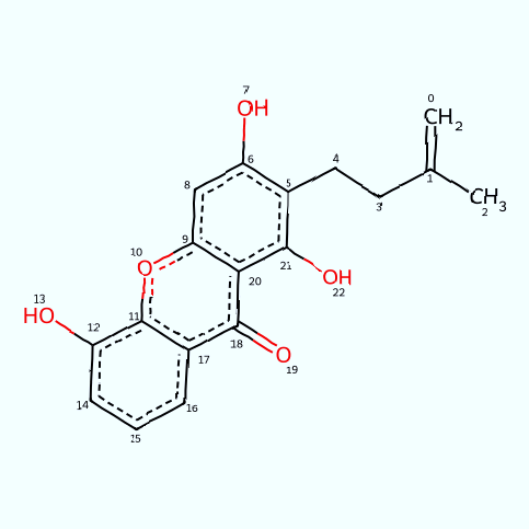 C=C(C)CCc1c(O)cc2oc3c(O)cccc3c(=O)c2c1O